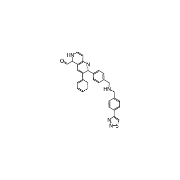 O=CC1NC=Cc2nc(-c3ccc(CNCc4ccc(-c5csnn5)cc4)cc3)c(-c3ccccc3)cc21